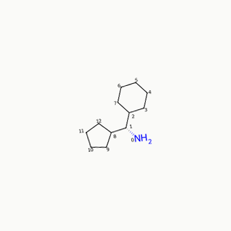 N[C@@H](C1CCCCC1)C1CCCC1